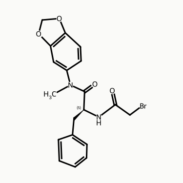 CN(C(=O)[C@H](Cc1ccccc1)NC(=O)CBr)c1ccc2c(c1)OCO2